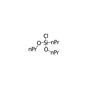 CCCO[Si](Cl)(CCC)OCCC